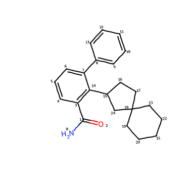 NC(=O)c1cccc(-c2ccccc2)c1C1CCC2(CCCCC2)C1